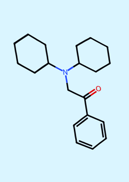 O=C(CN(C1CCCCC1)C1CCCCC1)c1ccccc1